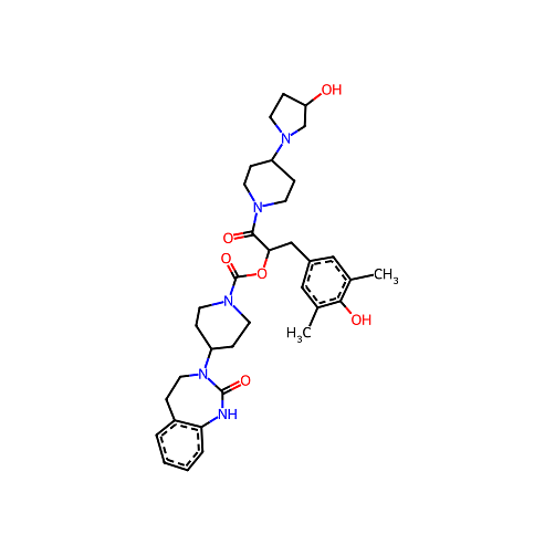 Cc1cc(CC(OC(=O)N2CCC(N3CCc4ccccc4NC3=O)CC2)C(=O)N2CCC(N3CCC(O)C3)CC2)cc(C)c1O